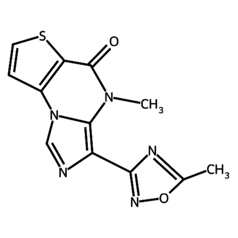 Cc1nc(-c2ncn3c4ccsc4c(=O)n(C)c23)no1